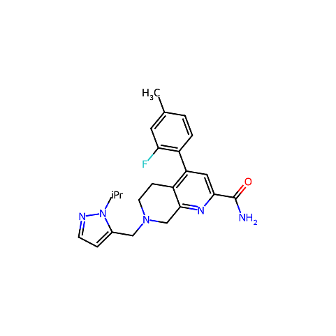 Cc1ccc(-c2cc(C(N)=O)nc3c2CCN(Cc2ccnn2C(C)C)C3)c(F)c1